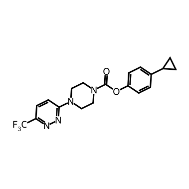 O=C(Oc1ccc(C2CC2)cc1)N1CCN(c2ccc(C(F)(F)F)nn2)CC1